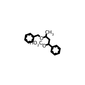 CC(CC(OC(=O)O)c1ccccc1)OCc1ccccc1